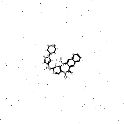 CN1C(=O)c2cc3ccccc3cc2N(C)c2nc(Nc3cnn(C4CCNCC4)c3)ncc21